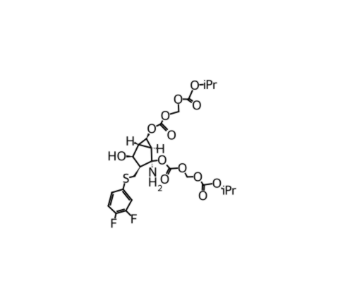 CC(C)OC(=O)OCOC(=O)O[C@@H]1[C@H]2[C@H](O)[C@H](CSc3ccc(F)c(F)c3)[C@](N)(OC(=O)OCOC(=O)OC(C)C)[C@H]12